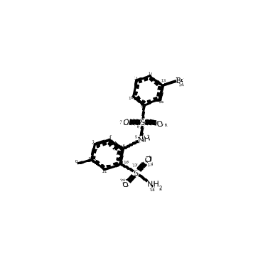 Cc1ccc(NS(=O)(=O)c2cccc(Br)c2)c(S(N)(=O)=O)c1